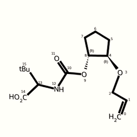 C=CCO[C@@H]1CCC[C@H]1OC(=O)NC(C(=O)O)C(C)(C)C